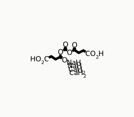 O=C(O)CCC(=O)OC(=O)OC(=O)CCC(=O)O.[CaH2].[CaH2].[NaH].[NaH]